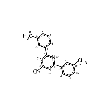 Cc1cccc(-c2nc(Cl)nc(-c3cccc(C)c3)n2)c1